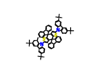 CC1CC(C(C)(C)C)=Cc2c1n(-c1cc3c(s1)C1(c4ccccc4-c4ccccc41)c1cc(-n4c5ccc(C(C)(C)C)cc5c5cc(C(C)(C)C)ccc54)sc1C31c3ccccc3-c3ccccc31)c1ccc(C(C)(C)C)cc21